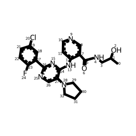 CC(O)CNC(=O)c1cnccc1Nc1nc(-c2cc(Cl)ccc2F)ncc1N1CCCC1